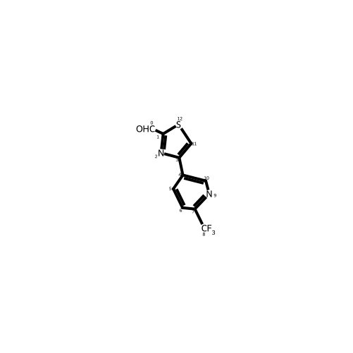 O=Cc1nc(-c2ccc(C(F)(F)F)nc2)cs1